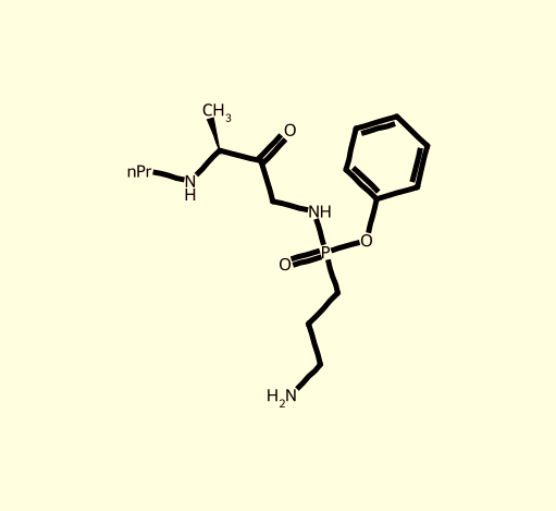 CCCN[C@@H](C)C(=O)CNP(=O)(CCCN)Oc1ccccc1